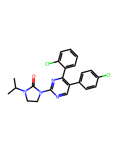 CC(C)N1CCN(c2ncc(-c3ccc(Cl)cc3)c(-c3ccccc3Cl)n2)C1=O